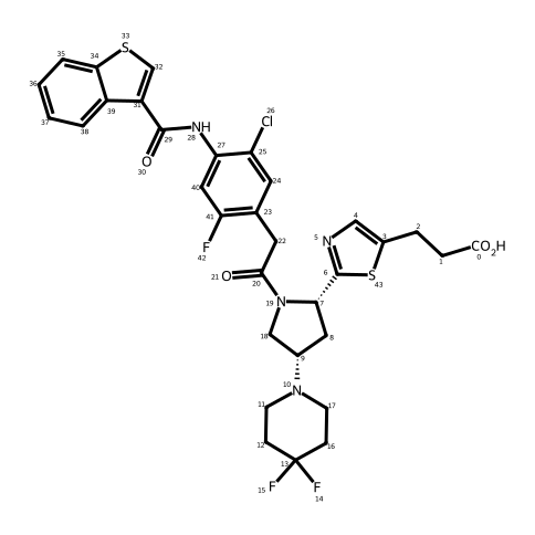 O=C(O)CCc1cnc([C@@H]2C[C@H](N3CCC(F)(F)CC3)CN2C(=O)Cc2cc(Cl)c(NC(=O)c3csc4ccccc34)cc2F)s1